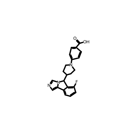 O=C(O)c1ccc(N2CCC(C3c4c(F)cccc4-c4cncn43)CC2)cc1